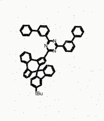 CC(C)(C)c1ccc2c(c1)-c1ccccc1C21c2ccccc2-c2ccccc2-c2cc(-c3nc(-c4cccc(-c5ccccc5)c4)nc(-c4cccc(-c5ccccc5)c4)n3)ccc21